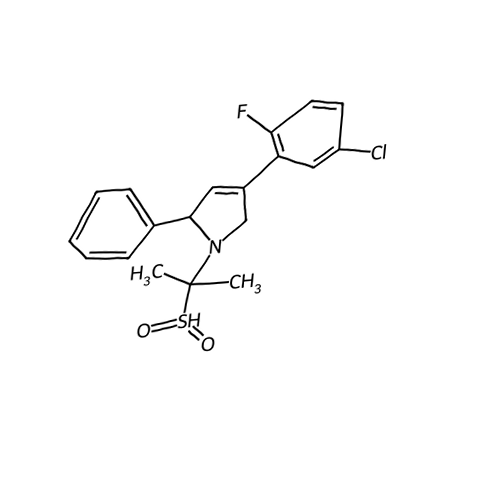 CC(C)(N1CC(c2cc(Cl)ccc2F)=CC1c1ccccc1)[SH](=O)=O